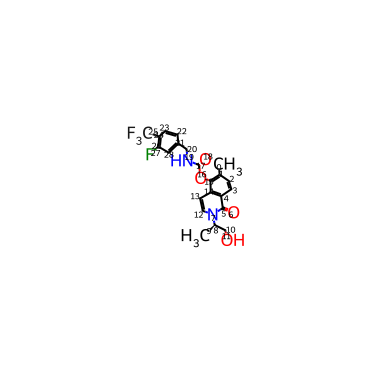 Cc1ccc2c(=O)n([C@H](C)CO)ccc2c1OC(=O)NCc1ccc(C(F)(F)F)c(F)c1